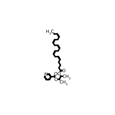 CC/C=C\C/C=C\C/C=C\C/C=C\C/C=C\CCCC(=O)OC(C)C(C)OC(=O)c1cccnc1